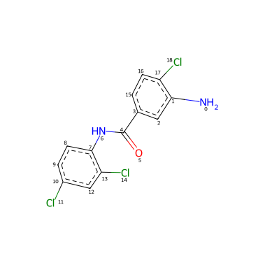 Nc1cc(C(=O)Nc2ccc(Cl)cc2Cl)ccc1Cl